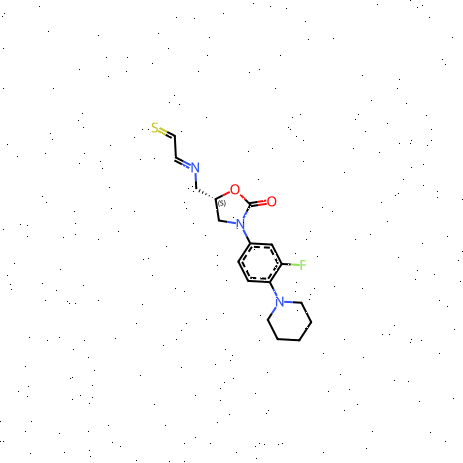 O=C1O[C@@H](CN=CC=S)CN1c1ccc(N2CCCCC2)c(F)c1